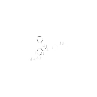 CCCCNc1ncc2c(-c3ccccc3)nn(C[C@H]3CC[C@H](N)CC3)c2n1